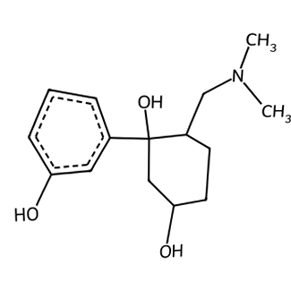 CN(C)CC1CCC(O)CC1(O)c1cccc(O)c1